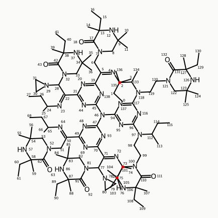 CCC(C)N=C(CN1CC(C)(C)NC(C)(CC)C1=O)c1nc(C(=NC(C)CC)C(N2CC2)N2CC(C)(C)NC(C)(CC)C2=O)nc(N(c2nc(C(CN3CC(C)(C)NC(C)(CC)C3=O)=NC(C)CC)nc(C(=NC(C)CC)C(N3CC3)N3CC(C)(C)NC(C)(CC)C3=O)n2)c2nc(N(CCN3CC(C)(C)NC(C)(CC)C3=O)C(C)CC)nc(N(CCN3CC(C)(C)NC(C)(CC)C3=O)C(C)CC)n2)n1